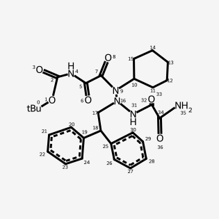 CC(C)(C)OC(=O)NC(=O)C(=O)N(C1CCCCC1)N(CC(c1ccccc1)c1ccccc1)NC(=O)C(N)=O